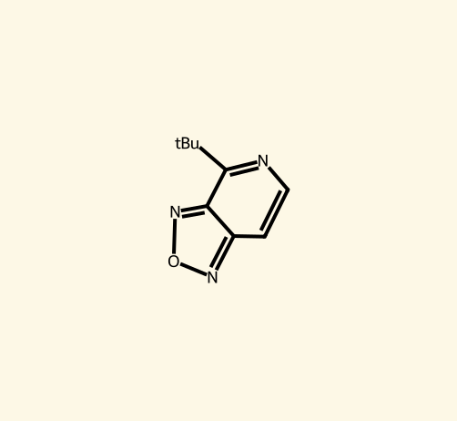 CC(C)(C)c1nccc2nonc12